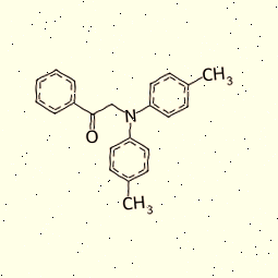 Cc1ccc(N(CC(=O)c2ccccc2)c2ccc(C)cc2)cc1